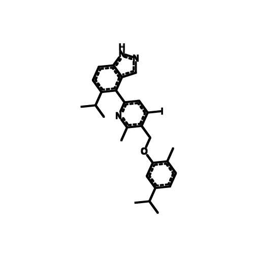 Cc1ccc(C(C)C)cc1OCc1c(I)cc(-c2c(C(C)C)ccc3[nH]ncc23)nc1C